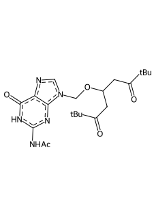 CC(=O)Nc1nc2c(ncn2COC(CC(=O)C(C)(C)C)CC(=O)C(C)(C)C)c(=O)[nH]1